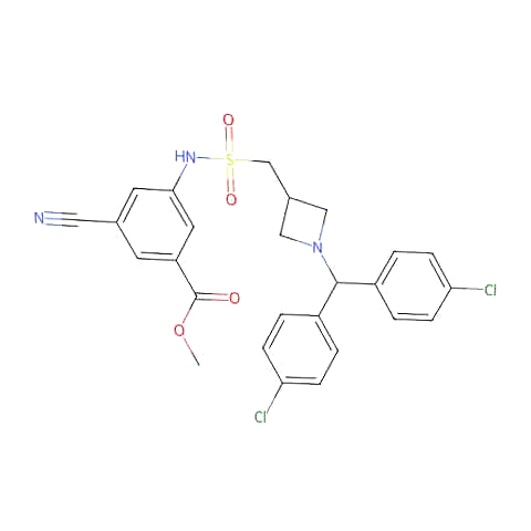 COC(=O)c1cc(C#N)cc(NS(=O)(=O)CC2CN(C(c3ccc(Cl)cc3)c3ccc(Cl)cc3)C2)c1